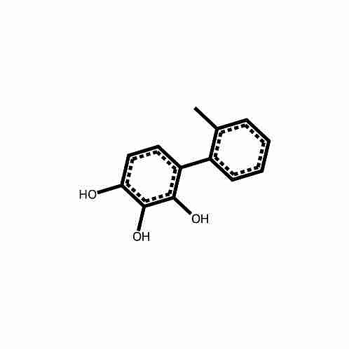 Cc1ccccc1-c1ccc(O)c(O)c1O